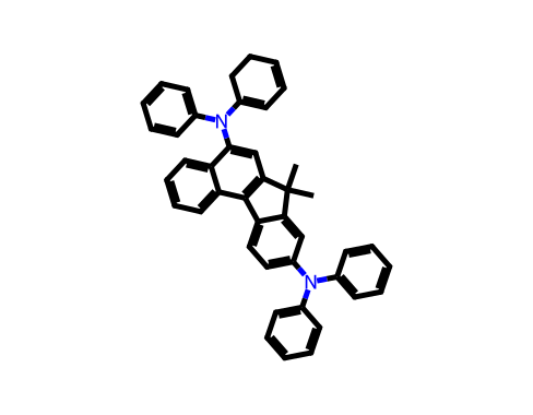 CC1(C)c2cc(N(c3ccccc3)c3ccccc3)ccc2-c2c1cc(N(C1=CC=CCC1)c1ccccc1)c1ccccc21